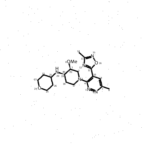 CO[C@H]1CN(c2nnc(C)cc2-c2nc(C)no2)CC[C@H]1NC1CCOCC1